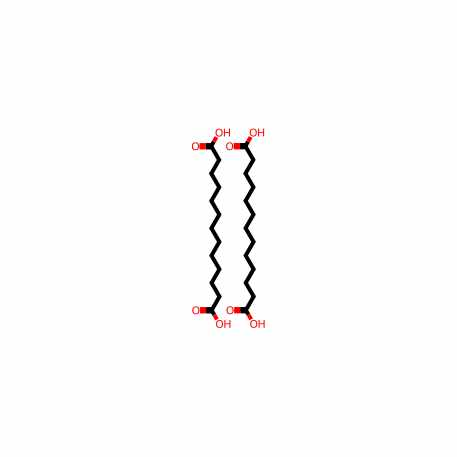 O=C(O)CCCCCCCCCCCC(=O)O.O=C(O)CCCCCCCCCCCC(=O)O